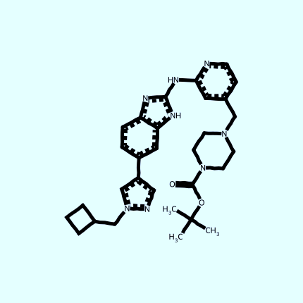 CC(C)(C)OC(=O)N1CCN(Cc2ccnc(Nc3nc4ccc(-c5cnn(CC6CCC6)c5)cc4[nH]3)c2)CC1